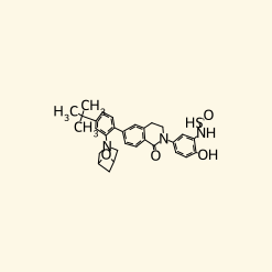 CC(C)(C)c1ccc(-c2ccc3c(c2)CCN(c2ccc(O)c(N[SH]=O)c2)C3=O)c(N2CC3CC(C2)O3)c1